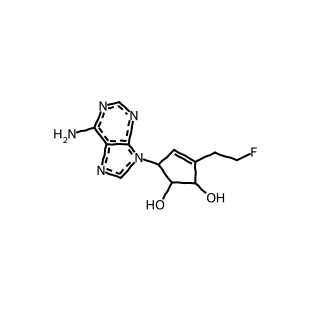 Nc1ncnc2c1ncn2C1C=C(CCF)C(O)C1O